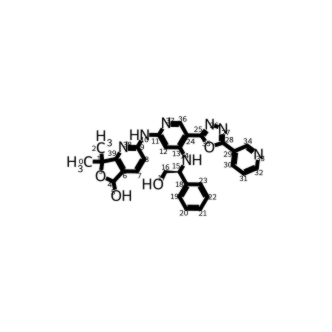 CC1(C)OC(O)c2ccc(Nc3cc(N[C@H](CO)c4ccccc4)c(-c4nnc(-c5cccnc5)o4)cn3)nc21